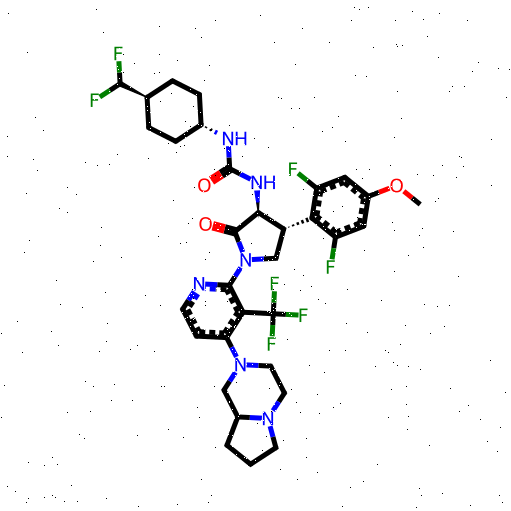 COc1cc(F)c([C@@H]2CN(c3nccc(N4CCN5CCCC5C4)c3C(F)(F)F)C(=O)[C@H]2NC(=O)N[C@H]2CC[C@H](C(F)F)CC2)c(F)c1